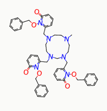 CN1CCN(Cc2cccc(=O)n2OCc2ccccc2)CCN(Cc2cccc(=O)n2OCc2ccccc2)CN(Cc2cccc(=O)n2OCc2ccccc2)CC1